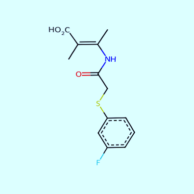 CC(NC(=O)CSc1cccc(F)c1)=C(C)C(=O)O